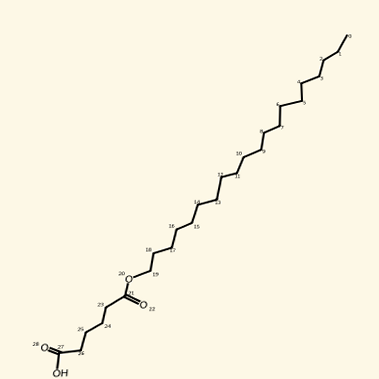 CCCCCCCCCCCCCCCCCCCCOC(=O)CCCCC(=O)O